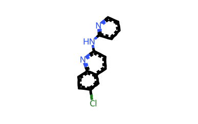 Clc1ccc2nc(Nc3ccccn3)ccc2c1